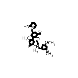 COc1cc(CN(C)CCOc2c(C=O)cc(Cn3ccccc3=N)cc2-c2ccc(F)cc2C)cc(OC)c1